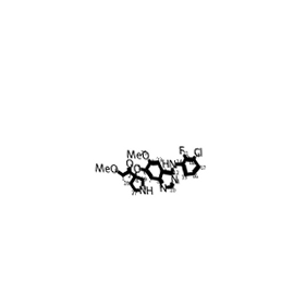 COCC(=O)[C@@]1(Oc2cc3ncnc(Nc4cccc(Cl)c4F)c3cc2OC)CCNC1